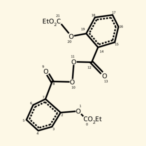 CCOC(=O)Oc1ccccc1C(=O)OOC(=O)c1ccccc1OC(=O)OCC